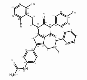 CN(Cc1ccccn1)Cc1c(-c2ccc(NC(N)=O)cc2)sc2c1c(=O)n(-c1ccc(F)cc1)c(=O)n2CCc1c(F)cccc1F